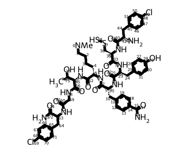 CNCCCC[C@H](NC(=O)[C@@H](Cc1ccc(C(N)=O)cc1)NC(=O)[C@H](Cc1ccc(O)cc1)NC(=O)[C@@H](CSS)NC(=O)[C@@H](N)Cc1ccc(Cl)cc1)C(=O)N[C@H](C(=O)NCC(=O)NC(Cc1ccc(Cl)cc1)C(N)=O)[C@@H](C)O